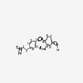 CNCCc1ccc(Oc2ccc(OC)cc2)c(I)c1